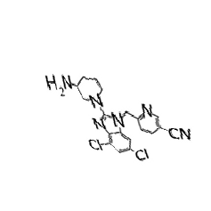 N#Cc1ccc(Cn2c(N3CCCC(N)C3)nc3c(Cl)cc(Cl)cc32)nc1